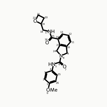 COc1ccc(NC(=O)N2Cc3cccc(C(=O)NCC4CCO4)c3C2)cc1